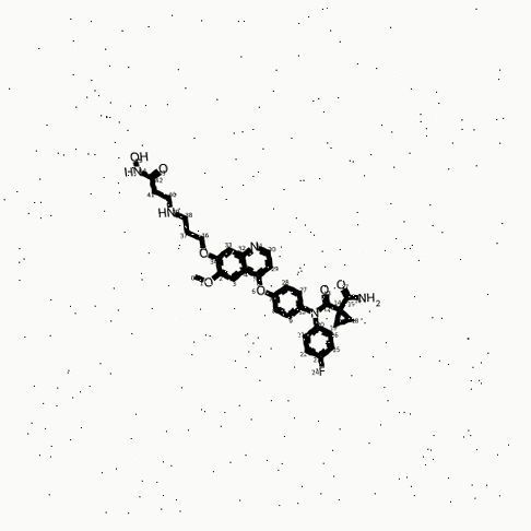 COc1cc2c(Oc3ccc(N(C(=O)C4(C(N)=O)CC4)c4ccc(F)cc4)cc3)ccnc2cc1OCCCNCCC(=O)NO